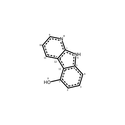 Oc1cccc2[nH]c3ncccc3c12